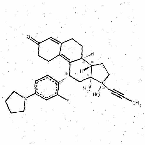 CC#C[C@]1(O)CC[C@H]2[C@@H]3CCC4=CC(=O)CCC4=C3[C@@H](c3ccc(N4CCCC4)cc3F)C[C@@]21C